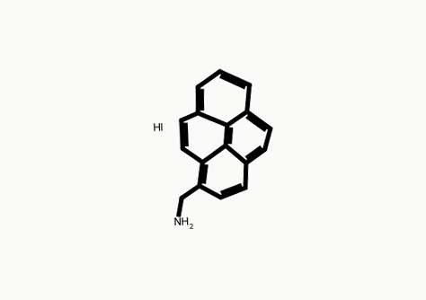 I.NCc1ccc2ccc3cccc4ccc1c2c34